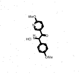 COc1ccc(C(N)C(=O)c2ccc(OC)nc2)cc1.Cl